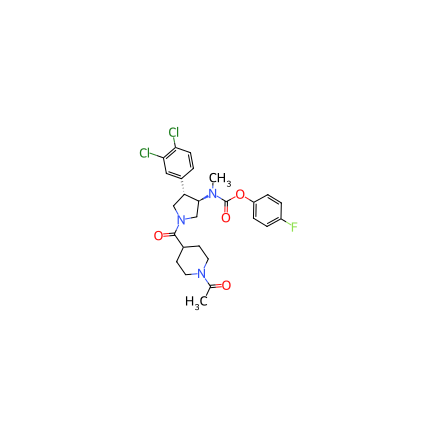 CC(=O)N1CCC(C(=O)N2C[C@H](c3ccc(Cl)c(Cl)c3)[C@@H](N(C)C(=O)Oc3ccc(F)cc3)C2)CC1